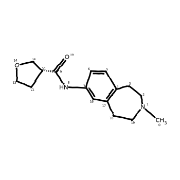 CN1CCc2ccc(NC(=O)[C@@H]3CCOC3)cc2CC1